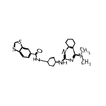 CN(C)c1nc(NC2CCC(NC(=O)c3ccc4ncsc4c3)CC2)nc2c1CCCC2